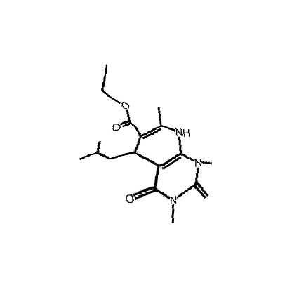 C=C1N(C)C(=O)C2=C(NC(C)=C(C(=O)OCC)C2CC(C)C)N1C